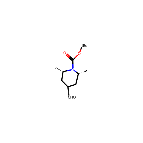 C[C@@H]1CC(C=O)C[C@H](C)N1C(=O)OC(C)(C)C